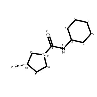 O=C(NC1CCCCC1)N1CC[C@H](F)C1